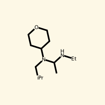 CCNC(C)N(CC(C)C)C1CCOCC1